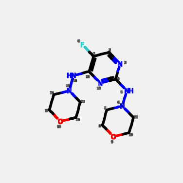 Fc1cnc(NN2CCOCC2)nc1NN1CCOCC1